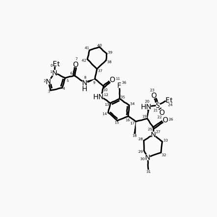 CCn1nccc1C(=O)N[C@H](C(=O)Nc1ccc([C@H](C)[C@@H](NS(=O)(=O)CC)C(=O)N2CCN(C)CC2)cc1F)C1CCCCC1